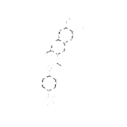 O=C(Nc1ccc(S(F)(F)(F)(F)F)cc1)c1cc2cc(O)c(O)cc2oc1=O